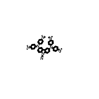 CN(C)c1ccc(N(c2ccc(N(C)C)cc2)c2ccc3c(c2)c2cc(N(c4ccc(N(C)C)cc4)c4ccc(N(C)C)cc4)ccc2n3C#N)cc1